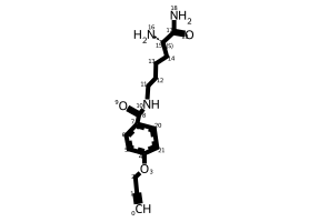 C#CCOc1ccc(C(=O)NCCCC[C@H](N)C(N)=O)cc1